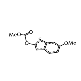 COC(=O)Oc1cc2ccc(OC)cc2s1